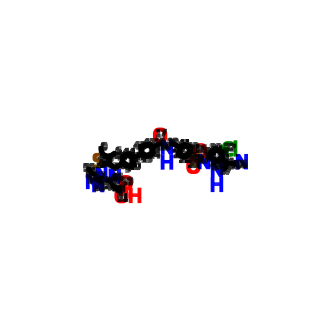 Cc1sc2c(c1C)C(c1ccc(-c3ccc(C(=O)NCc4ccc(S(=O)(=O)Nc5ccc(Cl)c6c(C#N)c[nH]c56)cc4)cc3)cc1)=N[C@@H](CC(=O)O)c1nnc(C)n1-2